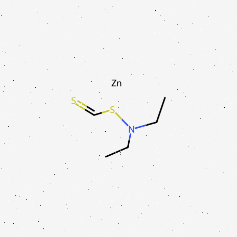 CCN(CC)SC=S.[Zn]